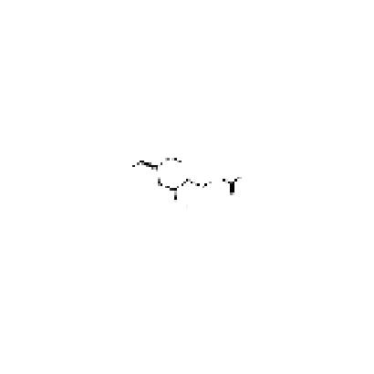 CC=C(CC)CC(C)CCOC(C)=O